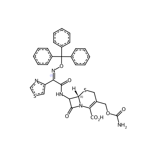 NC(=O)OCC1=C(C(=O)O)N2C(=O)C(NC(=O)/C(=N\OC(c3ccccc3)(c3ccccc3)c3ccccc3)c3cscn3)[C@@H]2SC1